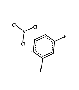 Fc1[c]ccc(F)c1.[Cl][V]([Cl])[Cl]